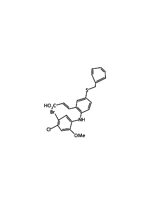 COc1cc(Cl)c(Br)cc1Nc1ccc(SCc2ccccc2)cc1C=CC(=O)O